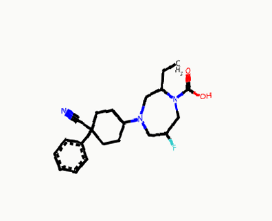 CCC1CN(C2CCC(C#N)(c3ccccc3)CC2)CC(F)CN1C(=O)O